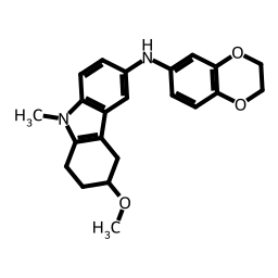 COC1CCc2c(c3cc(Nc4ccc5c(c4)OCCO5)ccc3n2C)C1